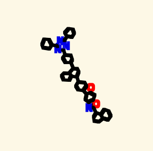 c1ccc(-c2nc(-c3ccccc3)nc(-c3ccc(-c4ccc(-c5ccc6c(c5)oc5cc7oc(-c8cccc9ccccc89)nc7cc56)c5ccccc45)cc3)n2)cc1